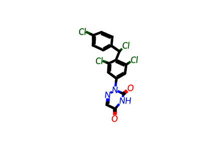 O=c1cnn(-c2cc(Cl)c(C(Cl)c3ccc(Cl)cc3)c(Cl)c2)c(=O)[nH]1